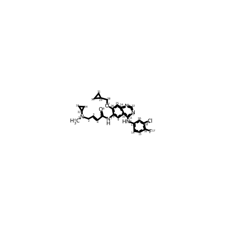 CN(CC=CC(=O)Nc1cc2c(Nc3ccc(F)c(Cl)c3)ncnc2cc1OCC1CC1)C1CC1